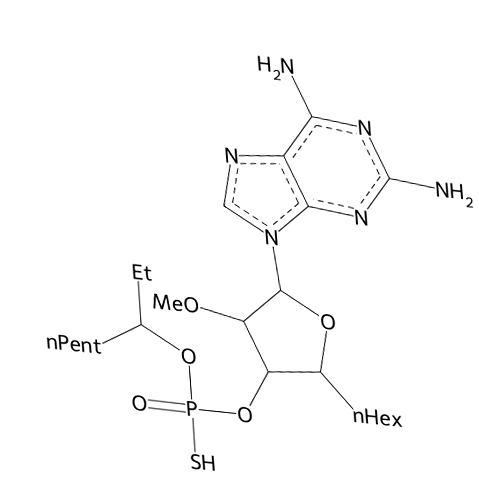 CCCCCCC1OC(n2cnc3c(N)nc(N)nc32)C(OC)C1OP(=O)(S)OC(CC)CCCCC